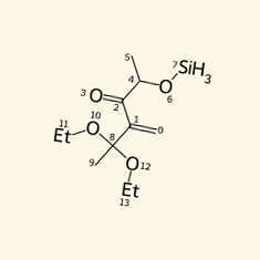 C=C(C(=O)C(C)O[SiH3])C(C)(OCC)OCC